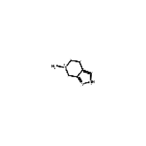 PN1CCc2c[nH]nc2C1